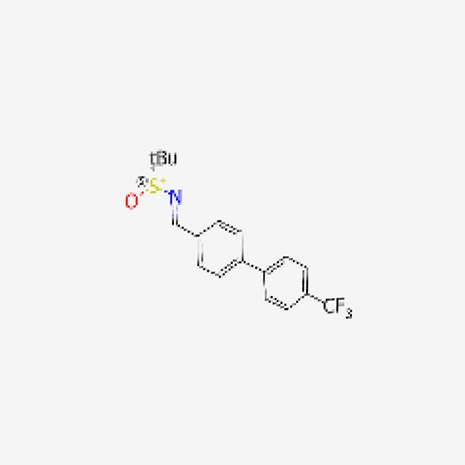 CC(C)(C)[S@@+]([O-])N=Cc1ccc(-c2ccc(C(F)(F)F)cc2)cc1